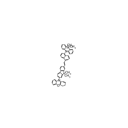 CC1(C)c2cc(/C=C/c3cccc4c(N5c6ccccc6[Si](C)(C)c6ccccc65)cccc34)ccc2-c2ccc(N3C4=C(CCC=C4)Oc4ccccc43)cc21